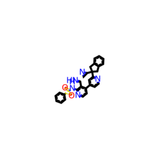 N=Cc1c(-c2ccnc(C3(C4C=N4)Cc4ccccc4C3)c2)ccnc1NS(=O)(=O)c1ccccc1